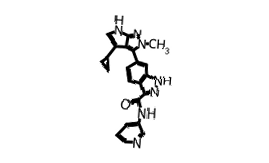 Cn1nc2[nH]cc(C3CC3)c2c1-c1ccc2c(C(=O)Nc3cccnc3)n[nH]c2c1